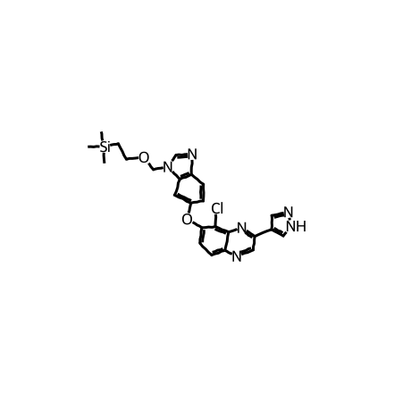 C[Si](C)(C)CCOCn1cnc2ccc(Oc3ccc4ncc(-c5cn[nH]c5)nc4c3Cl)cc21